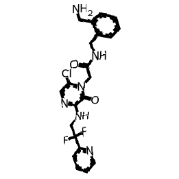 NCc1ccccc1CNC(=O)Cn1c(Cl)cnc(NCC(F)(F)c2ccccn2)c1=O